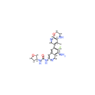 Cc1c(-c2cc3cc(NC(=O)N[C@H]4CCOC4)ncc3c(N)c2F)cnc2c1NCCO2